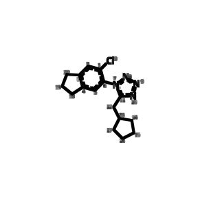 Clc1cc2c(cc1-n1nnnc1CC1CCCC1)CCC2